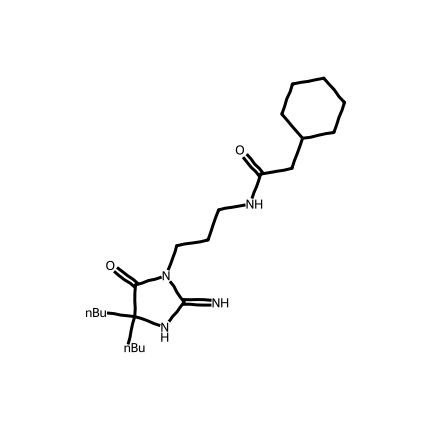 CCCCC1(CCCC)NC(=N)N(CCCNC(=O)CC2CCCCC2)C1=O